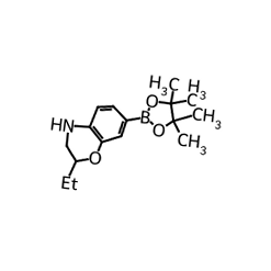 CCC1CNc2ccc(B3OC(C)(C)C(C)(C)O3)cc2O1